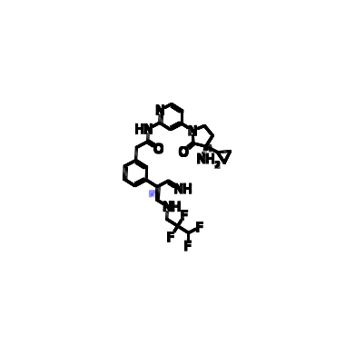 N=C/C(=C\NCC(F)(F)C(F)F)c1cccc(CC(=O)Nc2cc(N3CC[C@@](N)(C4CC4)C3=O)ccn2)c1